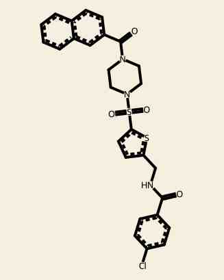 O=C(NCc1ccc(S(=O)(=O)N2CCN(C(=O)c3ccc4ccccc4c3)CC2)s1)c1ccc(Cl)cc1